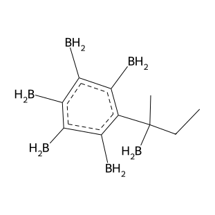 Bc1c(B)c(B)c(C(B)(C)CC)c(B)c1B